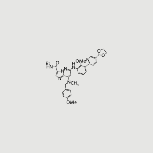 CCNC(=O)c1cnc2c(N(C)Cc3ccc(OC)cc3)cc(Nc3cccc(-c4ccc(C5OCCO5)cn4)c3OC)nn12